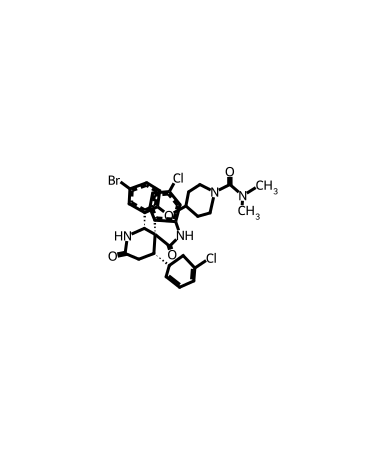 CN(C)C(=O)N1CCC(Oc2ccc(Br)cc2[C@H]2NC(=O)C[C@@H](C3C=CC=C(Cl)C3)[C@]23C(=O)Nc2cc(Cl)ccc23)CC1